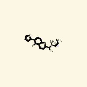 CC(C)C(c1ccc2c(F)c(-c3cccs3)ccc2n1)N(N)/C=C\N